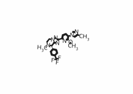 COc1nc(-c2nc3n(n2)CCN(C)[C@H]3c2ccc(C(F)(F)F)cc2)ccc1-n1cnc(C)c1